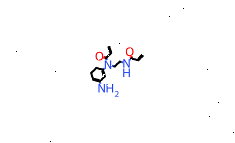 C=CC(=O)NCCN(C(=O)C=C)C1=CC(N)=CCC1